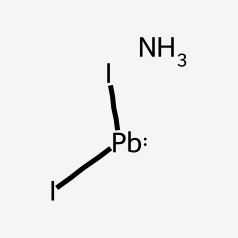 N.[I][Pb][I]